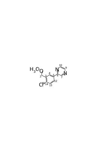 COCc1cc(-c2cnccn2)ccc1Cl